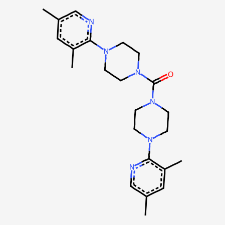 Cc1cnc(N2CCN(C(=O)N3CCN(c4ncc(C)cc4C)CC3)CC2)c(C)c1